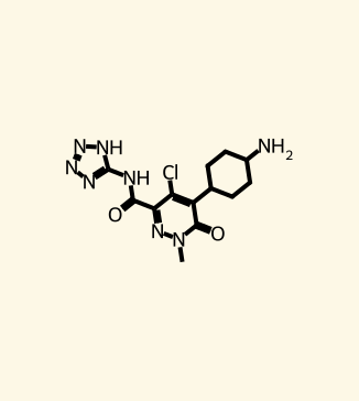 Cn1nc(C(=O)Nc2nnn[nH]2)c(Cl)c(C2CCC(N)CC2)c1=O